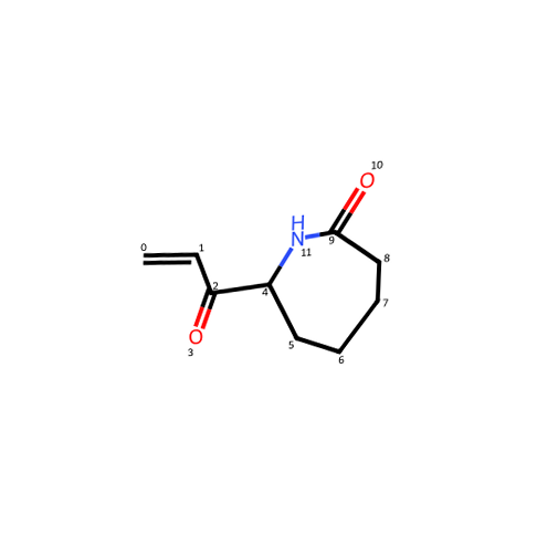 C=CC(=O)C1CCCCC(=O)N1